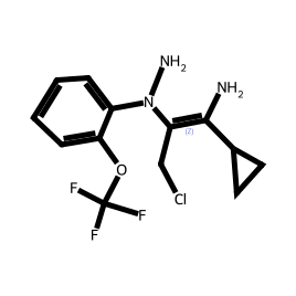 N/C(=C(/CCl)N(N)c1ccccc1OC(F)(F)F)C1CC1